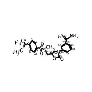 CC(C)c1ccc(S(=O)(=O)N(C)CC2CN(c3cccc(C(=N)N)c3)C(=O)O2)cc1